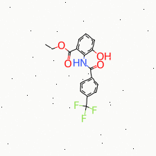 CCOC(=O)c1cccc(O)c1NC(=O)c1ccc(C(F)(F)F)cc1